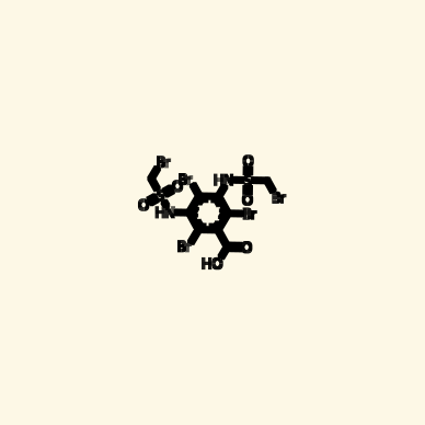 O=C(O)c1c(Br)c(NS(=O)(=O)CBr)c(Br)c(NS(=O)(=O)CBr)c1Br